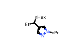 CCCCCCC(CC)c1cnn(CCC)c1